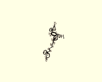 CCOC(=O)CCCCCCOc1ccc(C(=O)OCC)cc1O